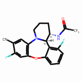 [C-]#[N+]c1cc2c(cc1F)Oc1cccc(F)c1[C@@H]1[C@@H](NC(=O)C(F)(F)F)CCCN21